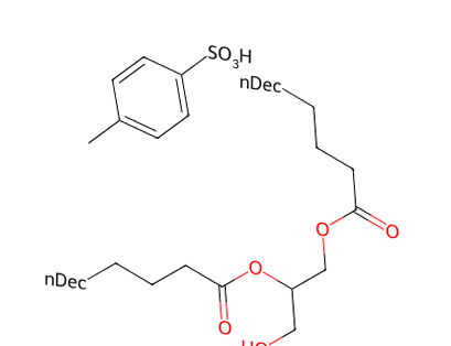 CCCCCCCCCCCCCC(=O)OCC(CO)OC(=O)CCCCCCCCCCCCC.Cc1ccc(S(=O)(=O)O)cc1